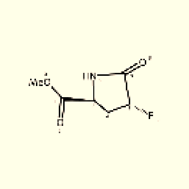 COC(=O)[C@@H]1C[C@@H](F)C(=O)N1